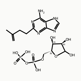 C=C(C)CCc1nc(N)c2[nH]cnc2n1.O=P(O)(O)OP(=O)(O)OC[C@H]1OC(O)[C@H](O)[C@@H]1O